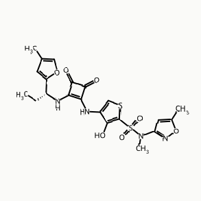 CC[C@@H](Nc1c(Nc2csc(S(=O)(=O)N(C)c3cc(C)on3)c2O)c(=O)c1=O)c1cc(C)co1